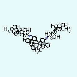 CCOc1ccccc1-c1c(/C=C/C(=O)NC2CN(C(=O)OC(C)(C)C)CC2O)ccc(Sc2ccc(/C=C/C(=O)NC3CN(C(=O)OC(C)(C)C)CC3O)c(-c3ccccc3OCC)c2C(F)(F)F)c1C(F)(F)F